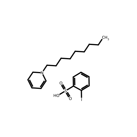 CCCCCCCCCN1C=CC=CC1.O=S(=O)(O)c1ccccc1I